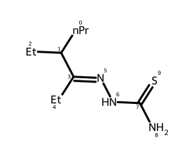 CCCC(CC)C(CC)=NNC(N)=S